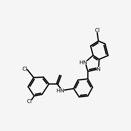 C=C(Nc1cccc(-c2nc3ccc(Cl)cc3[nH]2)c1)c1cc(Cl)cc(Cl)c1